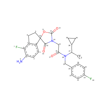 Nc1ccc2c(c1F)CCC21OC(=O)N(CC(=O)N(Cc2ccc(F)cc2)C(C2CC2)C(F)(F)F)C1=O